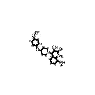 CPc1cccc2c(N3CCC(Oc4ccc(OC(F)(F)F)cc4)CC3)c(C#N)c(=O)n(C)c12